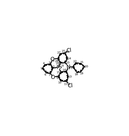 S=P12c3c4cccc3Oc3cc(Cl)cc(c31)N(c1ccccc1)c1cc(Cl)cc(c12)O4